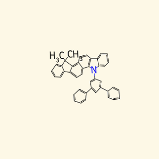 CC1(C)c2ccccc2-c2ccc3c(ccc4c5ccccc5n(-c5cc(-c6ccccc6)cc(-c6ccccc6)c5)c34)c21